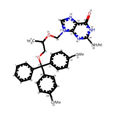 [CH2]C(COC(c1ccccc1)(c1ccc(OC)cc1)c1ccc(OC)cc1)OCn1cnc2c(=O)[nH]c(NC(C)=O)nc21